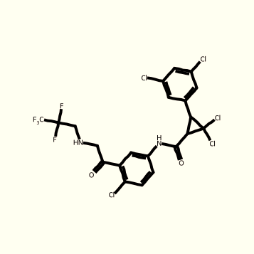 O=C(CNCC(F)(F)C(F)(F)F)c1cc(NC(=O)C2C(c3cc(Cl)cc(Cl)c3)C2(Cl)Cl)ccc1Cl